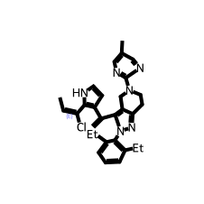 C=C(c1cc[nH]c1/C(Cl)=C\C)c1c2c(nn1-c1c(CC)cccc1CC)CCN(c1ncc(C)cn1)C2